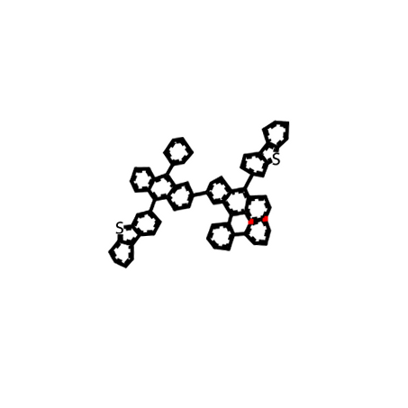 c1ccc(-c2ccccc2-c2c3ccccc3c(-c3ccc4c(c3)sc3ccccc34)c3ccc(-c4ccc5c(-c6ccc7c(c6)sc6ccccc67)c6ccccc6c(-c6ccccc6)c5c4)cc23)cc1